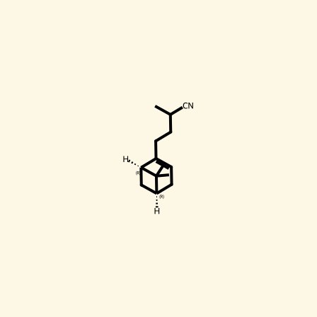 CC(C#N)CCC1=CC[C@H]2C[C@@H]1C2(C)C